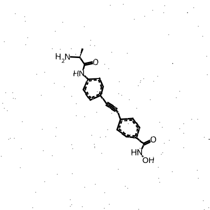 C[C@H](N)C(=O)Nc1ccc(C#Cc2ccc(C(=O)NO)cc2)cc1